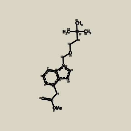 COC(=O)Cc1cccc2c1ncn2COCC[Si](C)(C)C